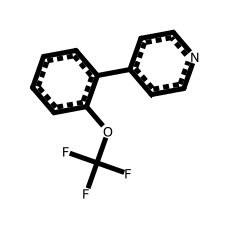 FC(F)(F)Oc1ccccc1-c1[c]cncc1